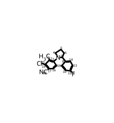 Cc1c(N2CCCC2c2ccc(F)cc2)ccc(C#N)c1Cl